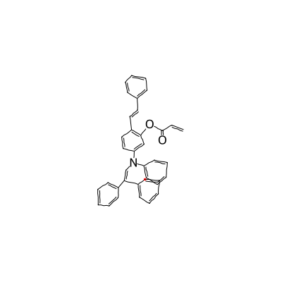 C=CC(=O)Oc1cc(N(C=C(c2ccccc2)c2ccccc2)c2ccccc2)ccc1C=Cc1ccccc1